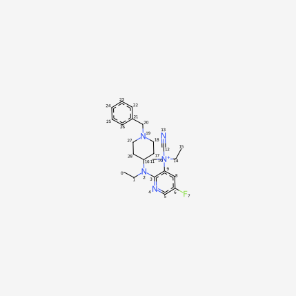 CCN(c1ncc(F)cc1[N+](C)(C#N)CC)C1CCN(Cc2ccccc2)CC1